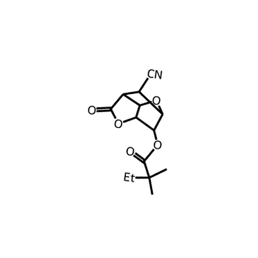 CCC(C)(C)C(=O)OC1C2OC3C1OC(=O)C3C2C#N